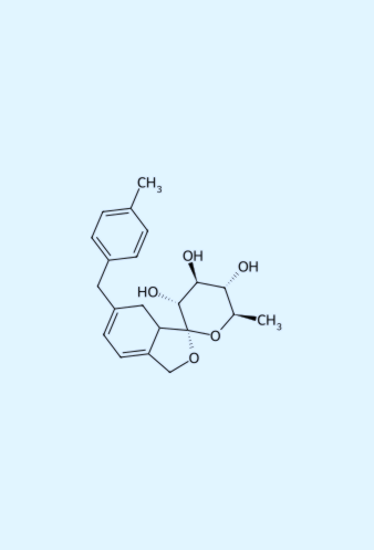 Cc1ccc(CC2=CC=C3CO[C@]4(O[C@H](C)[C@@H](O)[C@H](O)[C@H]4O)C3C2)cc1